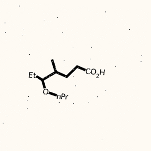 CCCOC(CC)C(C)CCC(=O)O